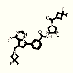 Nc1ncnn2c(-c3cccc(C(=O)N[C@@H]4CN(C(=O)C5CC(F)(F)C5)C[C@@H]4F)c3)cc(CN3CC(F)(F)C3)c12